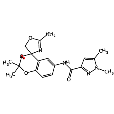 Cc1cc(C(=O)Nc2ccc3c(c2)C2(COC(N)=N2)C2(COC2)C(C)(C)O3)nn1C